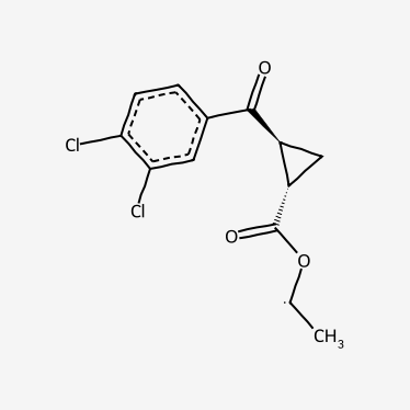 C[CH]OC(=O)[C@H]1C[C@@H]1C(=O)c1ccc(Cl)c(Cl)c1